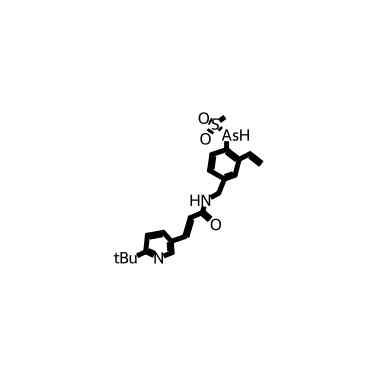 C=Cc1cc(CNC(=O)C=Cc2ccc(C(C)(C)C)nc2)ccc1[AsH]S(C)(=O)=O